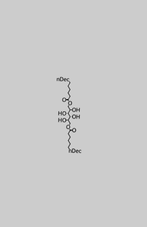 CCCCCCCCCCCCCCCC(=O)OC[C@@H](O)[C@@H](O)[C@H](O)[C@H](O)COC(=O)CCCCCCCCCCCCCCC